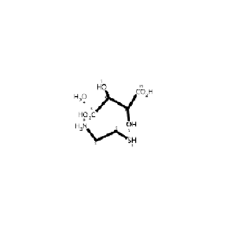 NCCS.O.O=C(O)C(O)C(O)C(=O)O